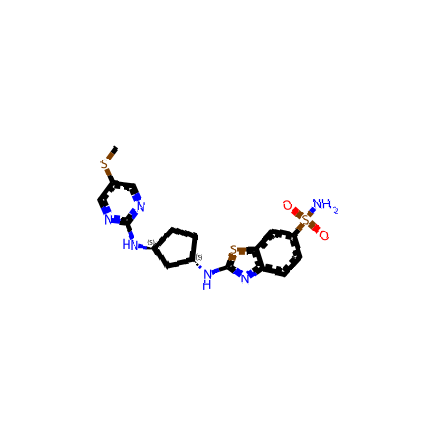 CSc1cnc(N[C@H]2CC[C@H](Nc3nc4ccc(S(N)(=O)=O)cc4s3)C2)nc1